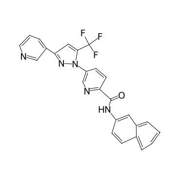 O=C(Nc1ccc2ccccc2c1)c1ccc(-n2nc(-c3cccnc3)cc2C(F)(F)F)cn1